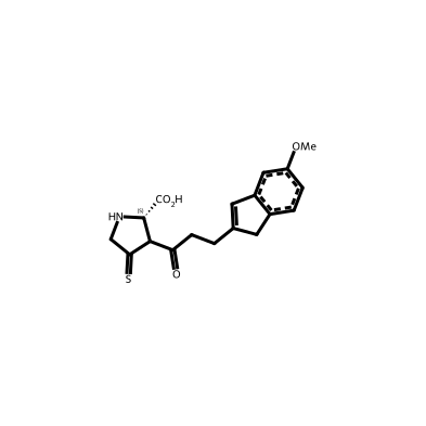 COc1ccc2c(c1)C=C(CCC(=O)C1C(=S)CN[C@@H]1C(=O)O)C2